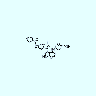 O=C(Nc1ccc(C(=O)c2c[nH]c3ncnc(NC4CCC(CO)OC4)c23)c(Cl)c1)c1ccncc1